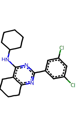 Clc1cc(Cl)cc(-c2nc3c(c(NC4CCCCC4)n2)CCCC3)c1